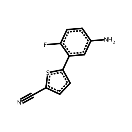 N#Cc1ccc(-c2cc(N)ccc2F)s1